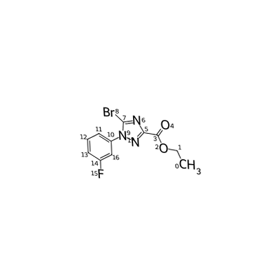 CCOC(=O)c1nc(Br)n(-c2cccc(F)c2)n1